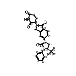 O=C1CCC(N2Cc3cc(N4C[C@@H](C(F)(F)F)N(c5ccccc5)C4=O)ccc3C2=O)C(=O)N1